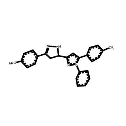 COc1ccc(C2=NNC(c3cc(-c4ccc(C)cc4)n(-c4ccccc4)n3)C2)cc1